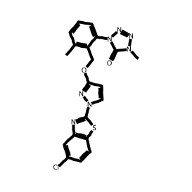 Cc1cccc(-n2nnn(C)c2=O)c1COc1ccn(-c2nc3cc(Cl)ccc3s2)n1